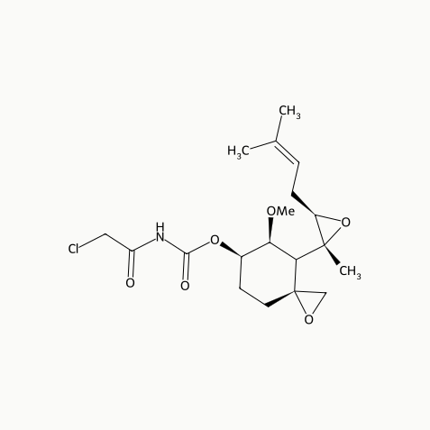 CO[C@H]1C([C@@]2(C)O[C@@H]2CC=C(C)C)[C@]2(CC[C@H]1OC(=O)NC(=O)CCl)CO2